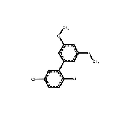 COc1cc(OC)cc(-c2cc(Cl)[c]cc2Cl)c1